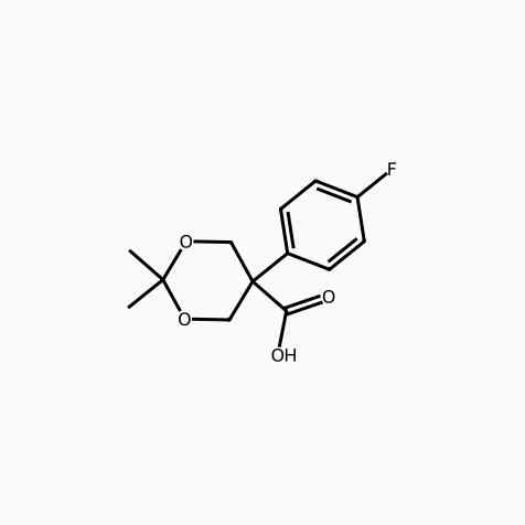 CC1(C)OCC(C(=O)O)(c2ccc(F)cc2)CO1